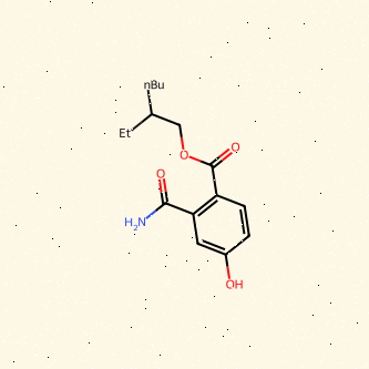 CCCCC(CC)COC(=O)c1ccc(O)cc1C(N)=O